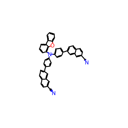 N#Cc1ccc2ccc(-c3ccc(N(c4ccc(-c5ccc6ccc(C#N)cc6c5)cc4)c4cccc5c4oc4ccccc45)cc3)cc2c1